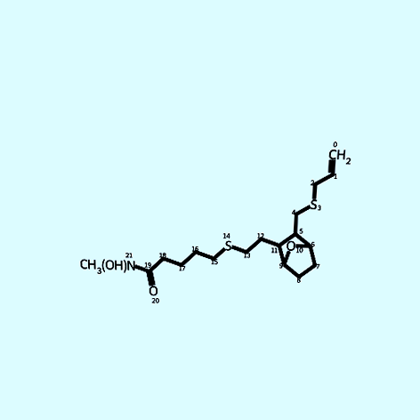 C=CCSCC1C2CCC(O2)C1CCSCCCCC(=O)N(C)O